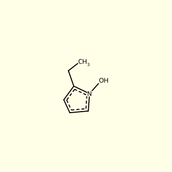 CCc1cccn1O